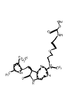 CCOC(=O)c1cc(C)[nH]c1/C=C1\C(=O)Nc2cnc(N(C)CCOCCNC(=O)OC(C)(C)C)nc21